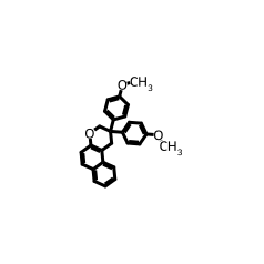 COc1ccc(C2(c3ccc(OC)cc3)COc3ccc4ccccc4c3C2)cc1